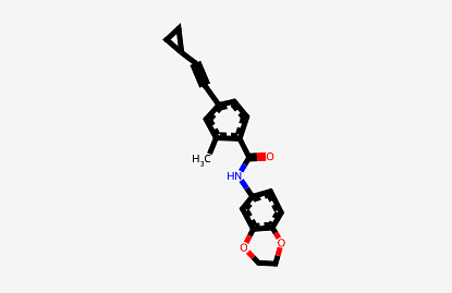 Cc1cc(C#CC2CC2)ccc1C(=O)Nc1ccc2c(c1)OCCO2